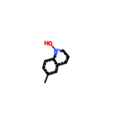 Cc1ccc2c(ccc[n+]2O)c1